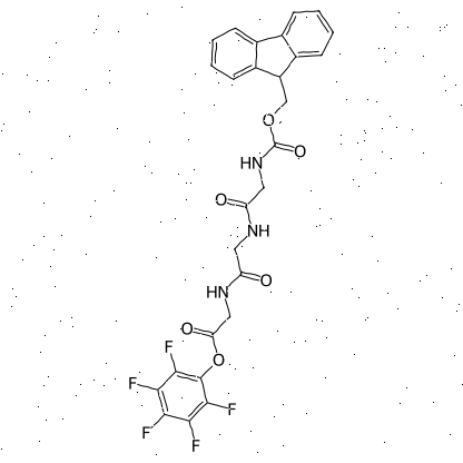 O=C(CNC(=O)CNC(=O)OCC1c2ccccc2-c2ccccc21)NCC(=O)Oc1c(F)c(F)c(F)c(F)c1F